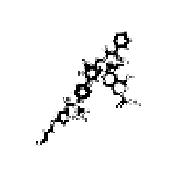 CC(=O)OCC1=C(C(=O)O)N2C(=O)C(N(Cc3ccc(-c4ccc(N(C(C)=O)C(=O)[C@@H]5CC(OCCC=O)CN5)cc4)[nH]c3=O)C(=O)C(N)c3ccccc3)[C@@H]2SC1